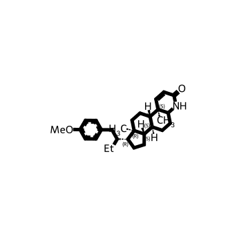 CCC(Cc1ccc(OC)cc1)[C@H]1CC[C@H]2[C@@H]3CCC4NC(=O)C=C[C@]4(C)[C@H]3CC[C@]12C